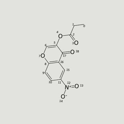 CCC(=O)Oc1coc2ccc([N+](=O)[O-])cc2c1=O